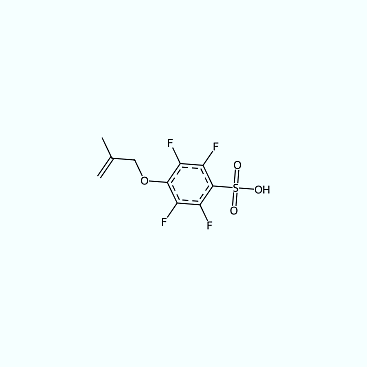 C=C(C)COc1c(F)c(F)c(S(=O)(=O)O)c(F)c1F